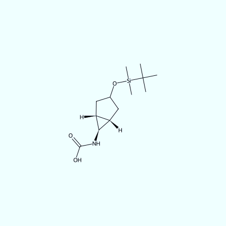 CC(C)(C)[Si](C)(C)OC1C[C@@H]2[C@H](C1)[C@H]2NC(=O)O